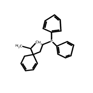 CC(C)C1(CCP(c2ccccc2)c2ccccc2)C=CC=CC1